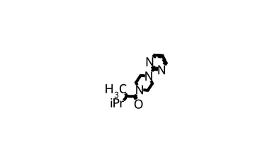 CC(C)C(C)C(=O)N1CCN(c2ncccn2)CC1